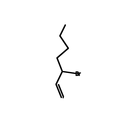 [CH]=CC(Br)CCCC